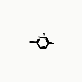 Cc1ccc(Cl)nc1.[N]